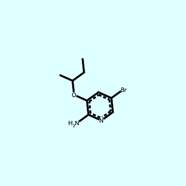 CCC(C)Oc1cc(Br)cnc1N